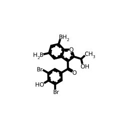 Bc1cc(B)c2oc(C(C)O)c(C(=O)c3cc(Br)c(O)c(Br)c3)c2c1